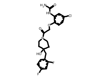 NC(=O)Nc1cc(Cl)ccc1OCC(=O)N1CCC(O)(Cc2ccc(F)cc2F)CC1